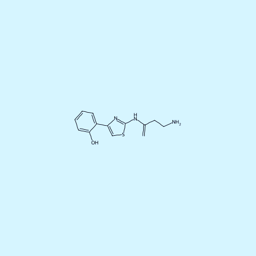 C=C(CCN)Nc1nc(-c2ccccc2O)cs1